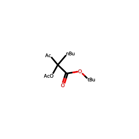 CCCCC(OC(C)=O)(C(C)=O)C(=O)OC(C)(C)C